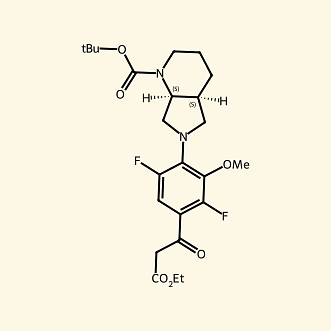 CCOC(=O)CC(=O)c1cc(F)c(N2C[C@@H]3CCCN(C(=O)OC(C)(C)C)[C@@H]3C2)c(OC)c1F